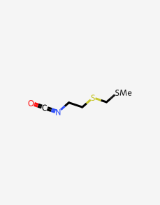 CSCSCCN=C=O